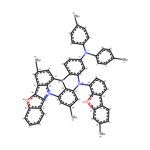 CC(C)(C)c1ccc(N(c2ccc(C(C)(C)C)cc2)c2ccc3c(c2)N(c2cccc4c2oc2cc(C(C)(C)C)ccc24)c2cc(C(C)(C)C)cc4c2B3c2cc(C(C)(C)C)cc3c5oc6ccccc6c5n-4c23)cc1